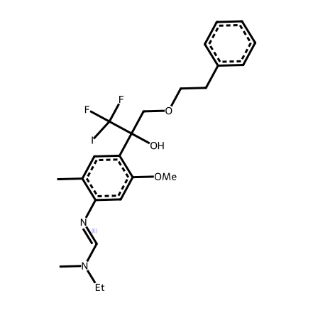 CCN(C)/C=N/c1cc(OC)c(C(O)(COCCc2ccccc2)C(F)(F)I)cc1C